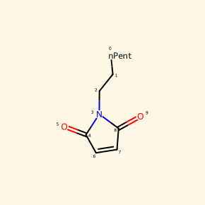 [CH2]CCCCCCN1C(=O)C=CC1=O